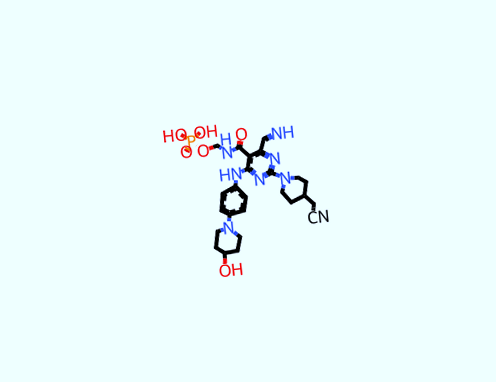 N#CCC1CCN(c2nc(C=N)c(C(=O)NCOP(=O)(O)O)c(Nc3ccc(N4CCC(O)CC4)cc3)n2)CC1